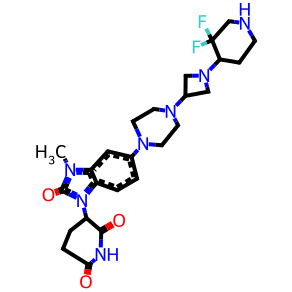 Cn1c(=O)n(C2CCC(=O)NC2=O)c2ccc(N3CCN(C4CN(C5CCNCC5(F)F)C4)CC3)cc21